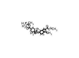 CCOC(=O)c1cc2cc(NC(=O)C3(N)CCN(C(=O)OC(C)(C)C)CC3)ccc2n1C